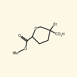 CCC1(C(=O)O)CCC(C(=O)OC(C)(C)C)OC1